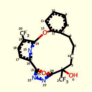 OC1(C(F)(F)F)CCCCc2ccccc2Oc2nc(ccc2C(F)(F)F)-c2nnc1o2